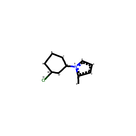 Cc1cccn1C1CCCC(Cl)C1